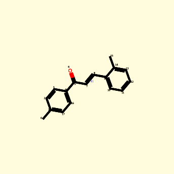 Cc1ccc(C(=O)/C=C/c2ccccc2C)cc1